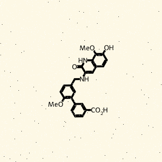 COc1ccc(CNc2cc3ccc(O)c(OC)c3[nH]c2=O)cc1-c1cccc(C(=O)O)c1